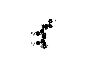 O=c1cc(-c2cnc(Oc3ccc(C(F)(F)F)cc3)c(-c3ccc4c(=O)cc(-c5cnc(Sc6ccc(C(F)(F)F)cc6)c(-c6ccc7c(=O)nc[nH]c7c6)n5)[nH]c4n3)c2)[nH]c2cc(-c3cccnc3Oc3ccc(C(F)(F)F)cc3)ccc12